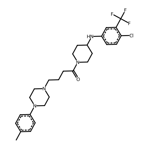 Cc1ccc(N2CCN(CCCC(=O)N3CCC(Nc4ccc(Cl)c(C(F)(F)F)c4)CC3)CC2)cc1